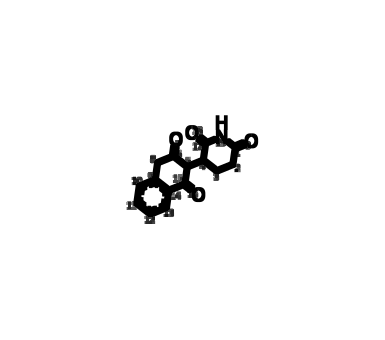 O=C1CCC(C2C(=O)Cc3ccccc3C2=O)C(=O)N1